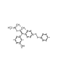 C/C(CN(C)C)=C(\c1ccc(CCc2ccccc2)cc1)c1cccc(O)c1